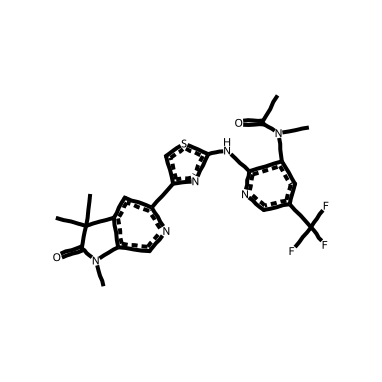 CC(=O)N(C)c1cc(C(F)(F)F)cnc1Nc1nc(-c2cc3c(cn2)N(C)C(=O)C3(C)C)cs1